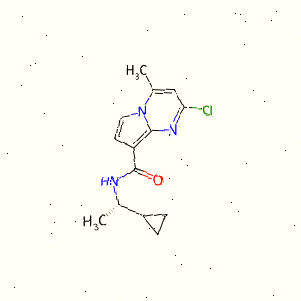 Cc1cc(Cl)nc2c(C(=O)N[C@@H](C)C3CC3)ccn12